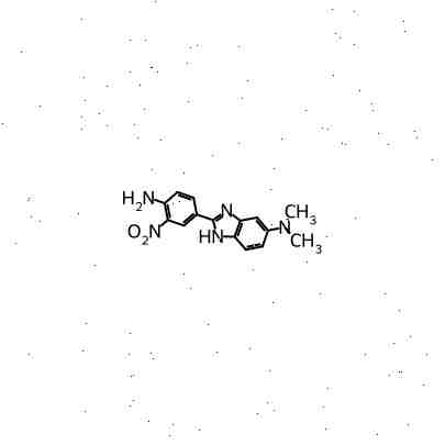 CN(C)c1ccc2[nH]c(-c3ccc(N)c([N+](=O)[O-])c3)nc2c1